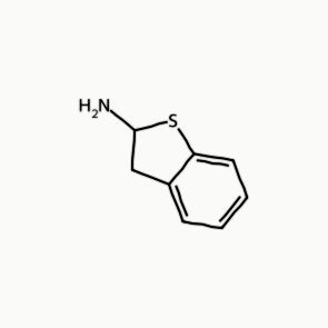 NC1Cc2ccccc2S1